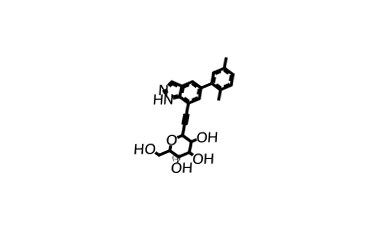 Cc1ccc(C)c(-c2cc(C#CC3OC(CO)[C@@H](O)C(O)C3O)c3[nH]ncc3c2)c1